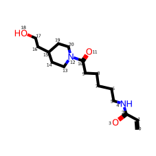 C=CC(=O)NCCCCCC(=O)N1CCC(CCO)CC1